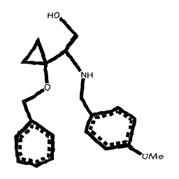 COc1ccc(CNC(CO)C2(OCc3ccccc3)CC2)cc1